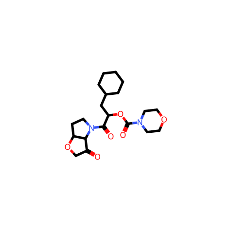 O=C1COC2CCN(C(=O)C(CC3CCCCC3)OC(=O)N3CCOCC3)C12